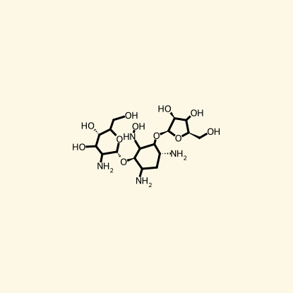 NC1C(O)[C@H](O)C(CO)O[C@@H]1O[C@@H]1C(N)C[C@@H](N)C(O[C@@H]2O[C@H](CO)C(O)[C@@H]2O)C1NO